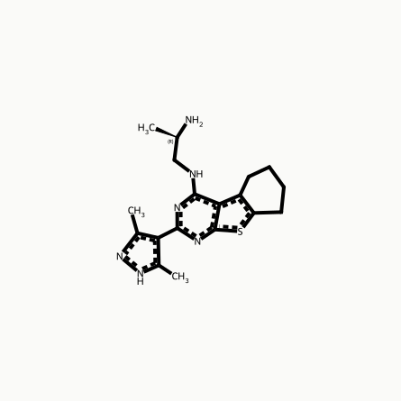 Cc1n[nH]c(C)c1-c1nc(NC[C@@H](C)N)c2c3c(sc2n1)CCCC3